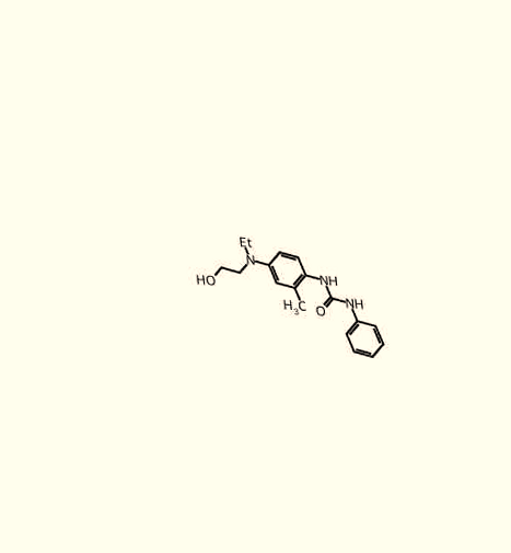 CCN(CCO)c1ccc(NC(=O)Nc2ccccc2)c(C)c1